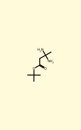 CC(N)(N)CC(=O)OC(C)(C)C